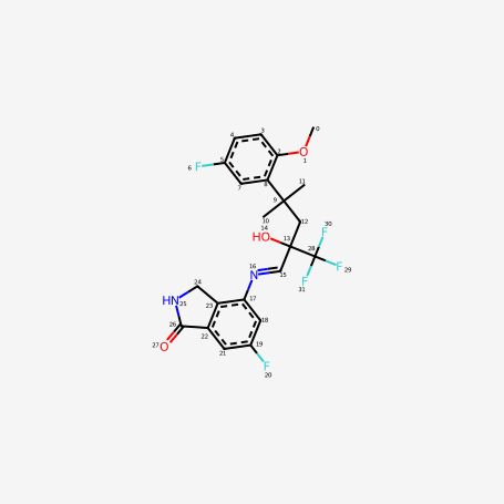 COc1ccc(F)cc1C(C)(C)CC(O)(/C=N/c1cc(F)cc2c1CNC2=O)C(F)(F)F